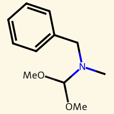 COC(OC)N(C)Cc1ccccc1